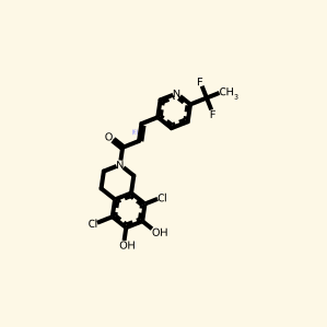 CC(F)(F)c1ccc(/C=C/C(=O)N2CCc3c(Cl)c(O)c(O)c(Cl)c3C2)cn1